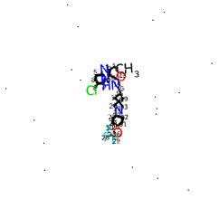 CCc1nc2ccc(Cl)cn2c1C(=O)NCC1CC2(C1)CN(c1ccc(OC(F)(F)F)cc1)C2